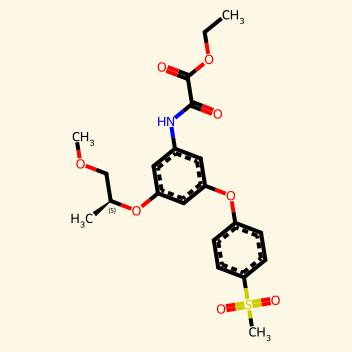 CCOC(=O)C(=O)Nc1cc(Oc2ccc(S(C)(=O)=O)cc2)cc(O[C@@H](C)COC)c1